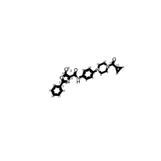 O=C(Nc1ccc(N2CCN(C(=O)C3CC3)CC2)cc1)c1nc(-c2ccccc2)oc1C(F)(F)F